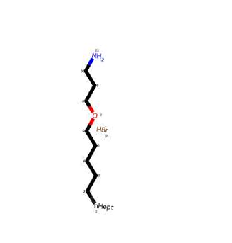 Br.CCCCCCCCCCCCOCCCN